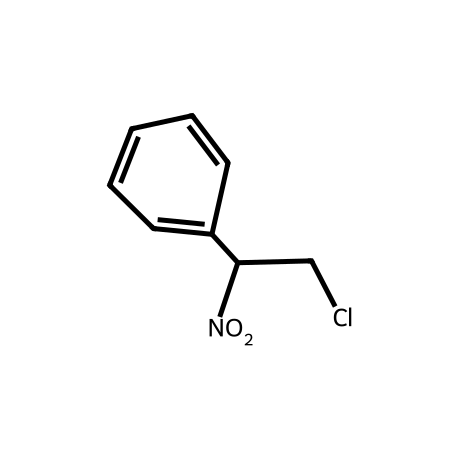 O=[N+]([O-])C(CCl)c1ccccc1